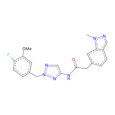 COc1cc(Cn2ncc(NC(=O)Cc3ccc4cnn(C)c4c3)n2)ccc1F